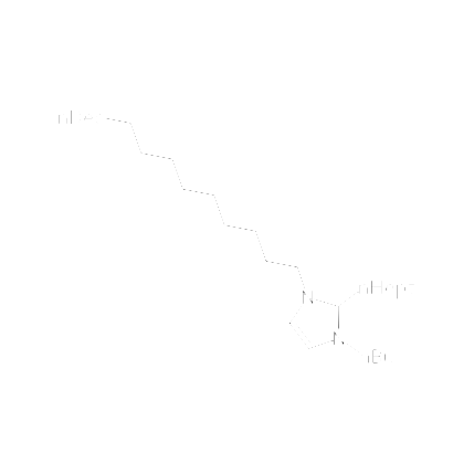 CCCCCCCCCCCCCCCCCCCN1C=CN(CCCC)C1CCCCCCC